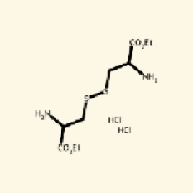 CCOC(=O)C(N)CSSCC(N)C(=O)OCC.Cl.Cl